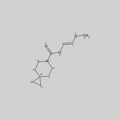 COC=COC(=O)N1CCC2(CC1)CC2